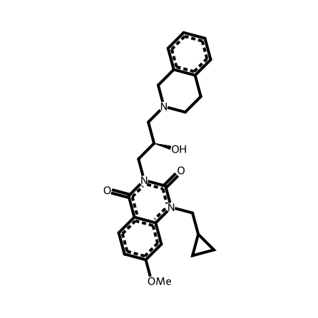 COc1ccc2c(=O)n(C[C@H](O)CN3CCc4ccccc4C3)c(=O)n(CC3CC3)c2c1